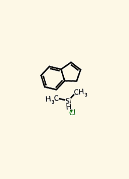 C1=Cc2ccccc2C1.C[SiH](C)Cl